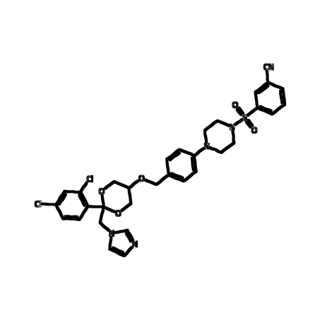 N#Cc1cccc(S(=O)(=O)N2CCN(c3ccc(COC4COC(Cn5ccnc5)(c5ccc(Cl)cc5Cl)OC4)cc3)CC2)c1